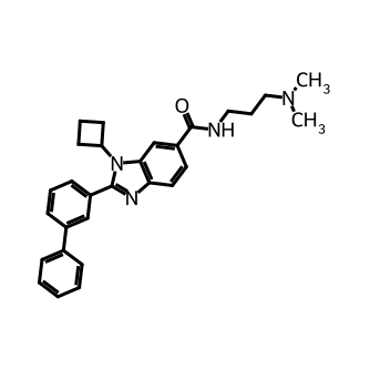 CN(C)CCCNC(=O)c1ccc2nc(-c3cccc(-c4ccccc4)c3)n(C3CCC3)c2c1